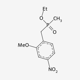 CCOP(C)(=O)Cc1ccc([N+](=O)[O-])cc1OC